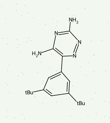 CC(C)(C)c1cc(-c2nnc(N)nc2N)cc(C(C)(C)C)c1